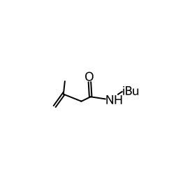 C=C(C)CC(=O)NC(C)CC